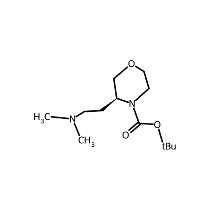 CN(C)CC[C@H]1COCCN1C(=O)OC(C)(C)C